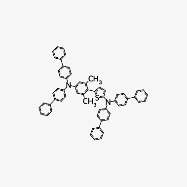 Cc1cc(N(c2ccc(-c3ccccc3)cc2)c2ccc(-c3ccccc3)cc2)cc(C)c1-c1ccc(N(c2ccc(-c3ccccc3)cc2)c2ccc(-c3ccccc3)cc2)s1